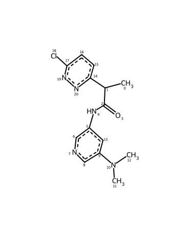 CC(C(=O)Nc1cncc(N(C)C)c1)c1ccc(Cl)nn1